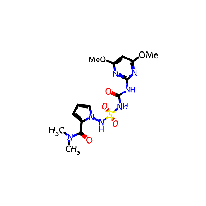 COc1cc(OC)nc(NC(=O)NS(=O)(=O)Nn2cccc2C(=O)N(C)C)n1